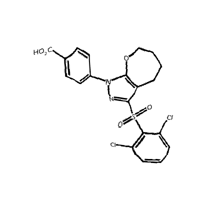 O=C(O)c1ccc(-n2nc(S(=O)(=O)c3c(Cl)cccc3Cl)c3c2OCCCC3)cc1